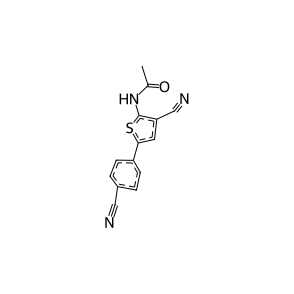 CC(=O)Nc1sc(-c2ccc(C#N)cc2)cc1C#N